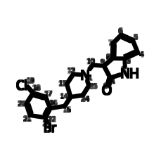 O=C1Nc2ccccc2C1CN1CCC(Cc2cc(Cl)ccc2Br)CC1